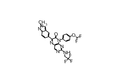 Cn1cc2cc(-c3nc4cnc(NCC(F)(F)F)nc4n(-c4ccc(OC(F)F)cc4)c3=O)ccc2n1